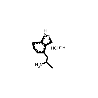 Cl.Cl.[CH2]C(N)Cc1cccc2[nH]ncc12